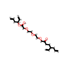 C=CCC(C=C)CCC(=O)COCCOCCOCC(=O)OC(C=C)CC=C